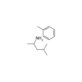 CC(C)CC(C)N.Cc1ccccc1